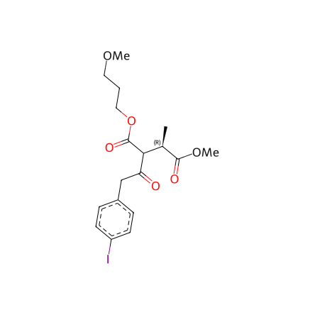 COCCCOC(=O)C(C(=O)Cc1ccc(I)cc1)[C@@H](C)C(=O)OC